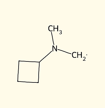 [CH2]N(C)C1CCC1